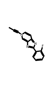 CC#Cn1ccc2nc(-c3ccccc3F)nc-2c1